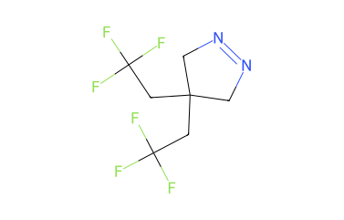 FC(F)(F)CC1(CC(F)(F)F)CN=NC1